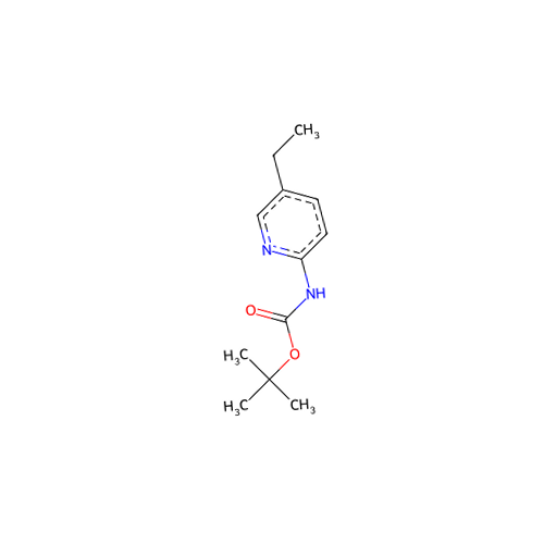 CCc1ccc(NC(=O)OC(C)(C)C)nc1